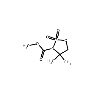 COC(=O)N1C(C)(C)COS1(=O)=O